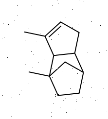 CC1=CCC2C3C[C]C(C)(C3)C12